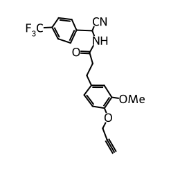 C#CCOc1ccc(CCC(=O)NC(C#N)c2ccc(C(F)(F)F)cc2)cc1OC